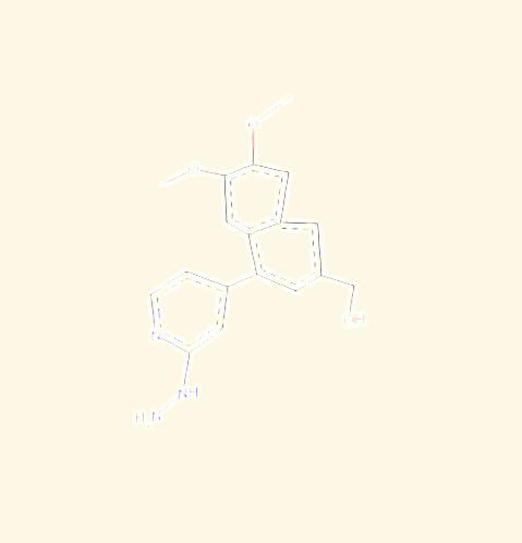 COc1cc2cc(CO)cc(-c3ccnc(NN)c3)c2cc1OC